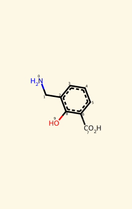 NCc1cccc(C(=O)O)c1O